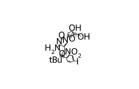 CC(C)(C)[C@@H](OCc1cn([C@H]2CC(O)[C@@H](CO)O2)c(=O)nc1N)c1ccc(I)cc1[N+](=O)[O-]